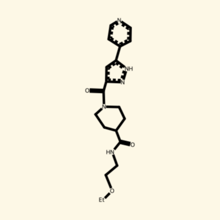 CCOCCNC(=O)C1CCN(C(=O)c2cc(-c3ccncc3)[nH]n2)CC1